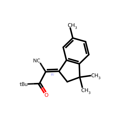 Cc1ccc2c(c1)/C(=C(\C#N)C(=O)C(C)(C)C)CC2(C)C